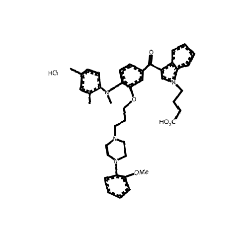 COc1ccccc1N1CCN(CCCOc2cc(C(=O)c3cn(CCCC(=O)O)c4ccccc34)ccc2N(C)c2ccc(C)cc2C)CC1.Cl